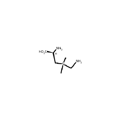 C[Si](C)(CN)C[C@H](N)C(=O)O